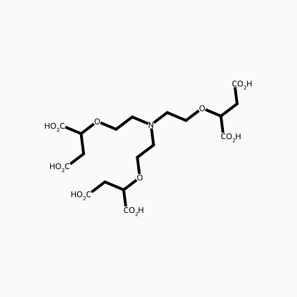 O=C(O)CC(OCCN(CCOC(CC(=O)O)C(=O)O)CCOC(CC(=O)O)C(=O)O)C(=O)O